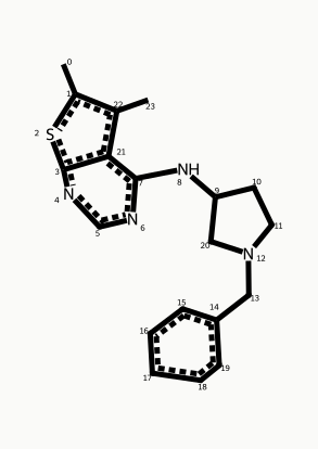 Cc1sc2ncnc(NC3CCN(Cc4ccccc4)C3)c2c1C